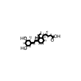 C[C@H](CCC(=O)O)[C@H]1CC[C@H]2C(=C/C=C3/C[C@H](O)C[C@@H](O)[C@@H]3C)CCC[C@]12C